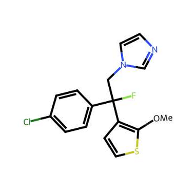 COc1sccc1C(F)(Cn1ccnc1)c1ccc(Cl)cc1